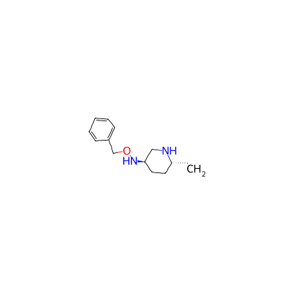 C=C[C@@H]1CC[C@@H](NOCc2ccccc2)CN1